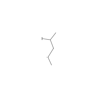 C[CH]CC(C)I